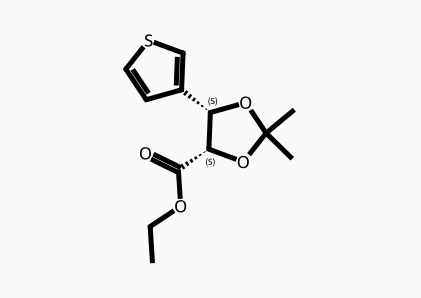 CCOC(=O)[C@H]1OC(C)(C)O[C@H]1c1ccsc1